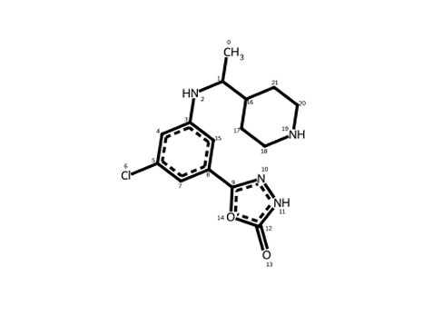 CC(Nc1cc(Cl)cc(-c2n[nH]c(=O)o2)c1)C1CCNCC1